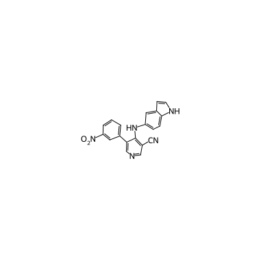 N#Cc1cncc(-c2cccc([N+](=O)[O-])c2)c1Nc1ccc2[nH]ccc2c1